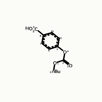 CCCCOC(=O)Oc1ccc(C(=O)O)cc1